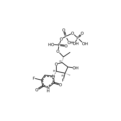 CC(OP(=O)(O)OP(=O)(O)OP(=O)(O)O)[C@H]1O[C@@H](n2cc(F)c(=O)[nH]c2=O)[C@](C)(F)C1O